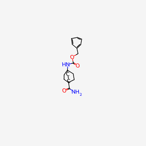 NC(=O)C12CCC(NC(=O)OCc3ccccc3)(CC1)CC2